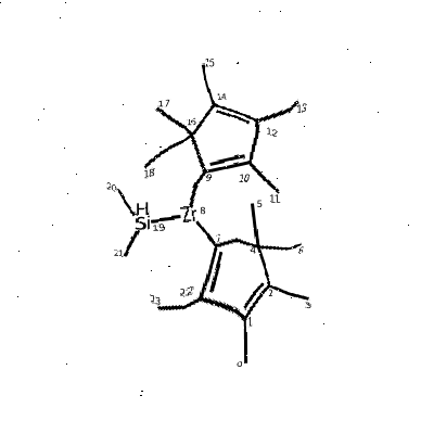 CC1=C(C)C(C)(C)[C]([Zr]([C]2=C(C)C(C)=C(C)C2(C)C)[SiH](C)C)=C1C